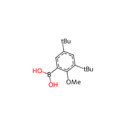 COc1c(B(O)O)cc(C(C)(C)C)cc1C(C)(C)C